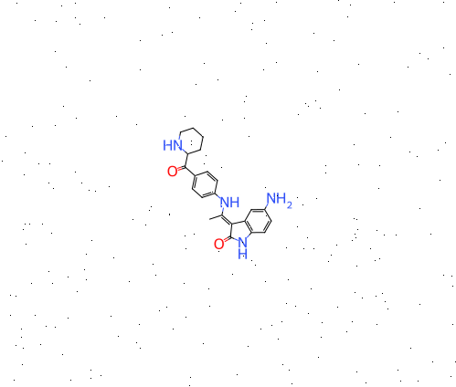 CC(Nc1ccc(C(=O)C2CCCCN2)cc1)=C1C(=O)Nc2ccc(N)cc21